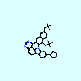 CC(C)(C)Cc1ccc2c(CC(C)(C)C)c3c(cc2c1)c1ncnc2ccc4c5ccc(C6CCCC6)cc5n3c4c21